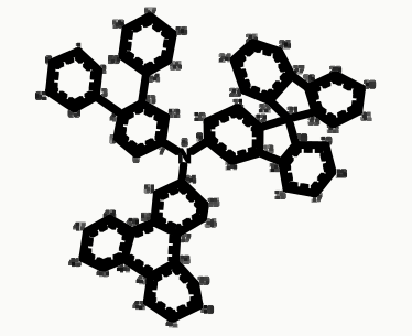 c1ccc(-c2ccc(N(c3ccc4c(c3)-c3ccccc3C43c4ccccc4-c4ccccc43)c3ccc4c5ccccc5c5ccccc5c4c3)cc2-c2ccccc2)cc1